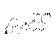 CC(C)c1cccc2c1N=CN(CC(C)(C)c1cccc3c1CNC3)C2